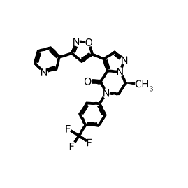 C[C@H]1CN(c2ccc(C(F)(F)F)cc2)C(=O)c2c(-c3cc(-c4cccnc4)no3)cnn21